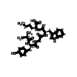 CSCC[C@H](NC(=O)[C@H](Cc1c[nH]c2ccccc12)NC(=O)CNC(=O)[C@H](Cc1ccc(O)cc1)NC(=O)[C@H](C)N)C(=O)O